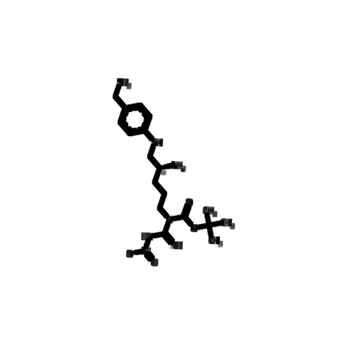 CC(C)(C)OC(=O)N(CCC[C@H](N)CNc1ccc(CN)cc1)C(=N)N[N+](=O)[O-]